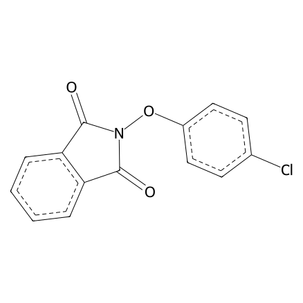 O=C1c2ccccc2C(=O)N1Oc1ccc(Cl)cc1